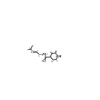 CC(C)OCCNC(=O)C1CCNCC1